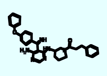 N=C(c1ccc(Oc2ccccc2)cc1)c1c(N)ncnc1NC1CCCN(C(=O)CCc2ccccc2)C1